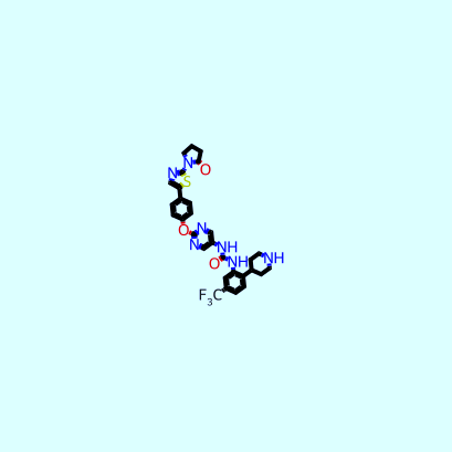 O=C(Nc1cnc(Oc2ccc(-c3cnc(N4CCCC4=O)s3)cc2)nc1)Nc1cc(C(F)(F)F)ccc1C1CCNCC1